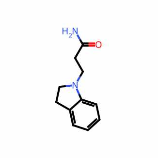 NC(=O)CCN1CCc2ccccc21